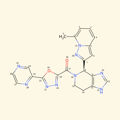 Cc1cccc2cc([C@H]3c4nc[nH]c4CCN3C(=O)c3nnc(-c4cnccn4)o3)nn12